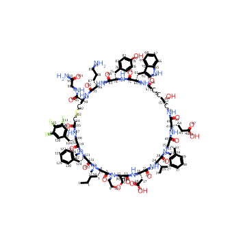 CCCC[C@H]1C(=O)N2CCOC[C@@H]2C(=O)N[C@@H](CC(=O)O)C(=O)N[C@@H](C(C)C)C(=O)N(C)[C@@H](Cc2ccccc2)C(=O)N[C@@H](CCC(=O)O)C(=O)NC[C@@H](O)CCC(=O)N[C@@H](Cc2c[nH]c3ccccc23)C(=O)N[C@@H](Cc2ccc(O)cc2)C(=O)N[C@@H](CCCN)C(=O)N[C@H](C(=O)NCC(N)=O)CSCC(=O)N[C@@H](Cc2cc(F)c(F)c(F)c2)C(=O)N(C)[C@@H](Cc2ccccc2)C(=O)N1C